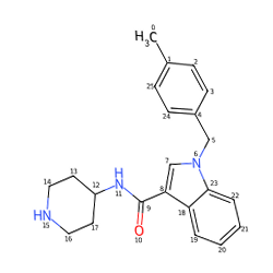 Cc1ccc(Cn2cc(C(=O)NC3CCNCC3)c3ccccc32)cc1